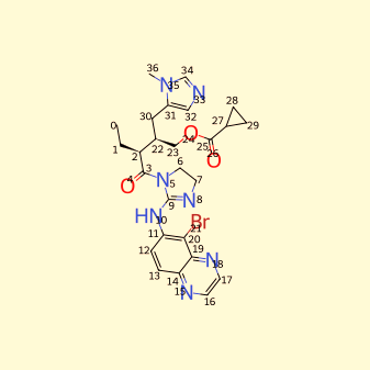 CC[C@H](C(=O)N1CCN=C1Nc1ccc2nccnc2c1Br)[C@H](COC(=O)C1CC1)Cc1cncn1C